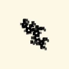 COc1c(Nc2nc(NC(C)CN3NC(C)C=C3C)ncc2C(N)=O)cccc1-c1ncn(C)n1